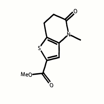 COC(=O)c1cc2c(s1)CCC(=O)N2C